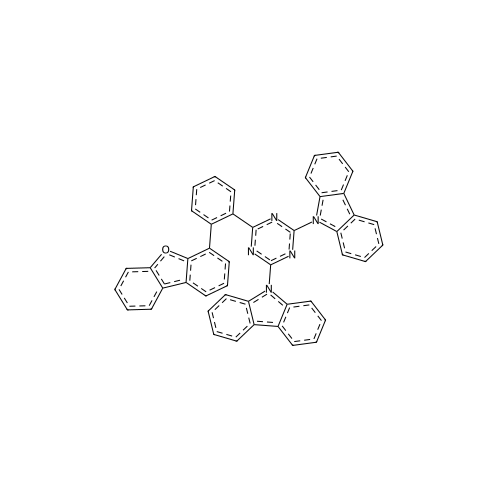 c1ccc(-c2cccc3c2oc2ccccc23)c(-c2nc(-n3c4ccccc4c4ccccc43)nc(-n3c4ccccc4c4ccccc43)n2)c1